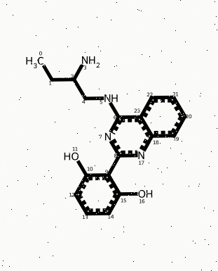 CCC(N)CNc1nc(-c2c(O)cccc2O)nc2ccccc12